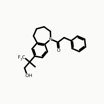 CC(CO)(c1ccc2c(c1)CCCCN2C(=O)Cc1ccccc1)C(F)(F)F